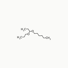 CCCCCCOC(CC)OCCC